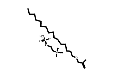 C=C(C)COCCCCCCCCCCCCCCCC.C[N+](C)(C)CCOP(=O)([O-])O